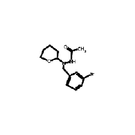 CC(=O)NN(Cc1cccc(Br)c1)C1CCCCO1